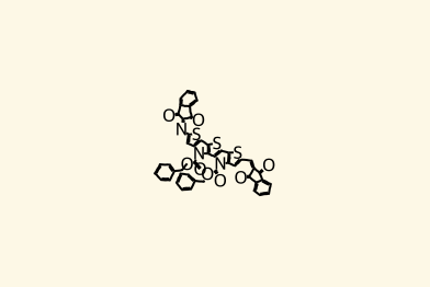 O=C1C(=Cc2cc3c(s2)c2sc4c5sc(N=c6c(=O)c7ccccc7c6=O)cc5n(C(=O)OCc5ccccc5)c4c2n3C(=O)OCc2ccccc2)C(=O)c2ccccc21